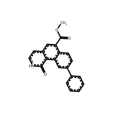 COC(=O)c1cc2cc[nH]c(=O)c2c2cc(-c3ccccc3)ccc12